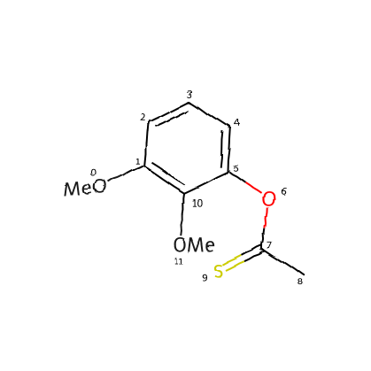 COc1cccc(OC(C)=S)c1OC